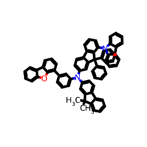 CC1(C)c2ccccc2-c2ccc(N(c3cccc(-c4cccc5c4oc4ccccc45)c3)c3ccc4c(c3)C(c3ccccc3)(c3ccccc3)c3c-4cccc3-n3c4ccccc4c4ccccc43)cc21